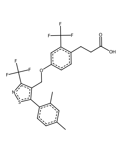 Cc1ccc(-c2snc(C(F)(F)F)c2COc2ccc(CCC(=O)O)c(C(F)(F)F)c2)c(C)c1